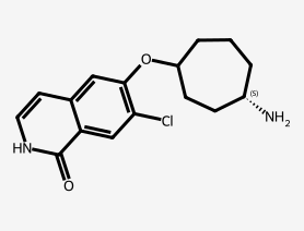 N[C@H]1CCCC(Oc2cc3cc[nH]c(=O)c3cc2Cl)CC1